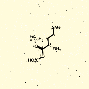 CSCC[C@H](N)C(=O)OC(=O)O.[CaH2].[Fe]